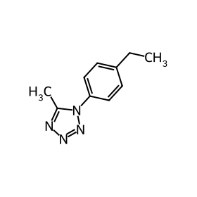 CCc1ccc(-n2nnnc2C)cc1